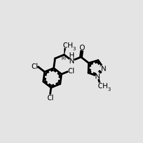 C[C@H](Cc1c(Cl)cc(Cl)cc1Cl)NC(=O)c1cnn(C)c1